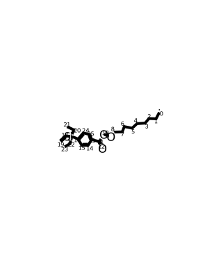 [CH2]CCCCCCCCOOC(=O)c1ccc([Si](C=C)(CC)CC)cc1